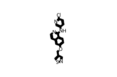 Clc1ccc(Nc2nccc3cc(OCc4cnsc4)ccc23)cn1